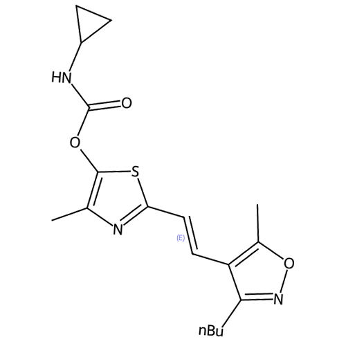 CCCCc1noc(C)c1/C=C/c1nc(C)c(OC(=O)NC2CC2)s1